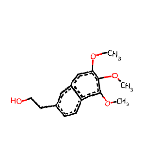 COc1cc2cc(CCO)ccc2c(OC)c1OC